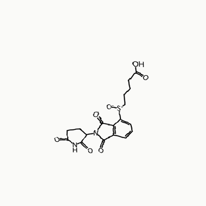 O=C(O)CCCC[S+]([O-])c1cccc2c1C(=O)N(C1CCC(=O)NC1=O)C2=O